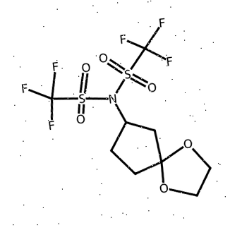 O=S(=O)(N(C1CCC2(C1)OCCO2)S(=O)(=O)C(F)(F)F)C(F)(F)F